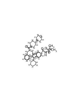 CN(C)S(=O)(=O)NC(=O)c1ccc2c(C3CCCCC3)c3n(c2c1)CC(C(=O)N1CCC(N2CCOCC2)CC1)Cc1ccccc1-3